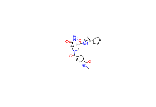 CNC(=O)c1ccc(C(=O)N2C[C@@H](C(N)=O)[C@H](C(=O)N[C@H]3C[C@@H]3c3ccccc3)C2)cc1